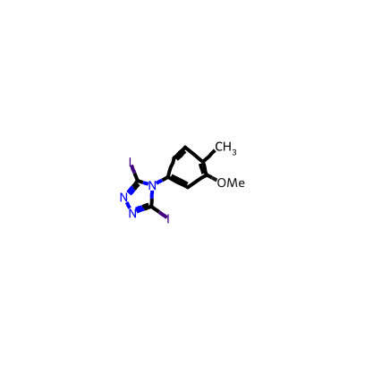 COc1cc(-n2c(I)nnc2I)ccc1C